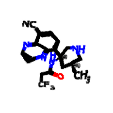 C[C@@H]1CNC[C@](NC(=O)CC(F)(F)F)(c2ccc(C#N)c3nccnc23)C1